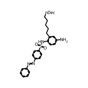 CCCCCCCCCCCCCCCc1cc(N)ccc1NS(=O)(=O)c1ccc(N=Nc2ccccc2)cc1